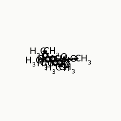 CCOCCNC(=O)C1C[C@@]2(C)C(CC[C@]3(C)C2CC=C2C4CC(C)(C)CC[C@]4(C(=O)OC)CC[C@]23C)C(C)(C)C1=O